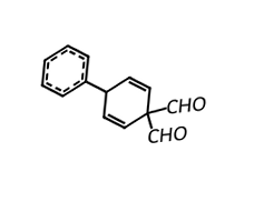 O=CC1(C=O)C=CC(c2ccccc2)C=C1